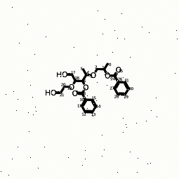 CC(COC(C)C(OC(=O)c1ccccc1)C(CO)OCCO)OC(=O)c1ccccc1